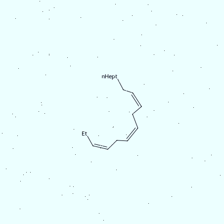 C[CH]CCCCCC/C=C\C/C=C\C/C=C\CC